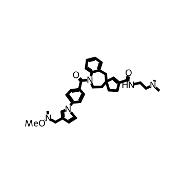 CON(C)Cc1ccn(-c2ccc(C(=O)N3CCC4(C=C(C(=O)NCCN(C)C)CC4)Cc4ccccc43)cc2)c1